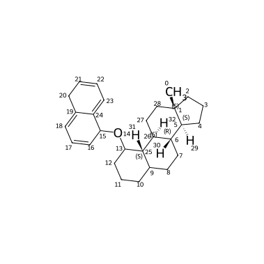 C[C@@]12CCC[C@H]1[C@@H]1CCC3CCCC(OC4C=CC=C5CC=CC=C54)[C@@H]3[C@H]1CC2